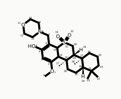 COC1=CC(O)=C(CN2CCOCC2)C2C1[C@]1(C)CC[C@H]3C(C)(C)CCC[C@]3(C)[C@H]1CS2(=O)=O